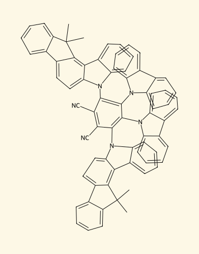 CC1(C)c2ccccc2-c2ccc3c(c21)c1ccccc1n3-c1c(C#N)c(C#N)c(-n2c3ccccc3c3c4c(ccc32)-c2ccccc2C4(C)C)c(-n2c3ccccc3c3ccccc32)c1-n1c2ccccc2c2ccccc21